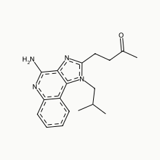 CC(=O)CCc1nc2c(N)nc3ccccc3c2n1CC(C)C